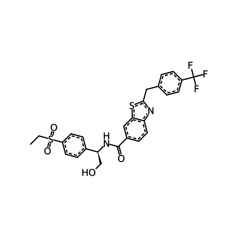 CCS(=O)(=O)c1ccc([C@H](CO)NC(=O)c2ccc3nc(Cc4ccc(C(F)(F)F)cc4)sc3c2)cc1